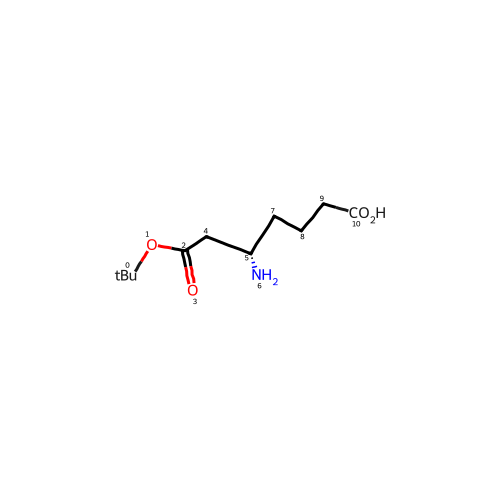 CC(C)(C)OC(=O)C[C@@H](N)CCCC(=O)O